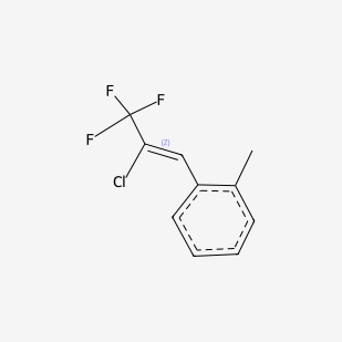 Cc1ccccc1/C=C(\Cl)C(F)(F)F